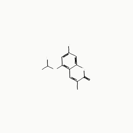 Cc1cc2c(OC(F)F)cc(Br)cc2[nH]c1=O